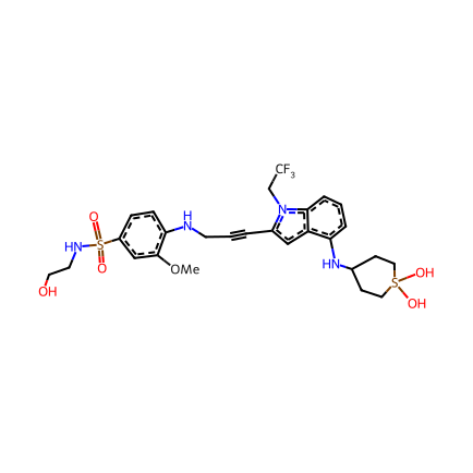 COc1cc(S(=O)(=O)NCCO)ccc1NCC#Cc1cc2c(NC3CCS(O)(O)CC3)cccc2n1CC(F)(F)F